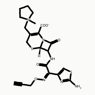 C#CCO/N=C(\C(=O)NC1C(=O)N2C(C(=O)[O-])=C(C[N+]3(C)CCCC3)CS[C@@H]12)c1csc(N)n1